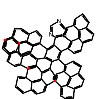 c1cc2ccc3ccc(-c4c(-c5ncncn5)c(-c5ccc6ccc7cccc8ccc5c6c78)c(-c5ccc6ccc7cccc8ccc5c6c78)c(-c5ccc6ccc7cccc8ccc5c6c78)c4-c4ccc5ccc6cccc7ccc4c5c67)c4ccc(c1)c2c34